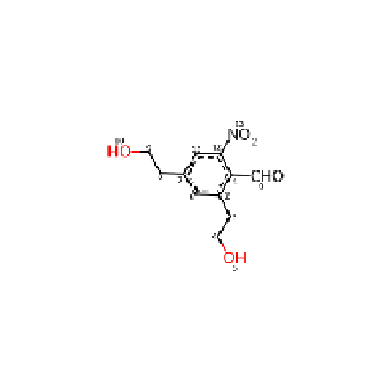 O=Cc1c(CCO)cc(CCO)cc1[N+](=O)[O-]